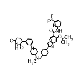 CC(C)Oc1cc2nc(C3CCC(CN(C)C4CCN(c5cccc(C6CCC(=O)NC6=O)c5)CC4)CC3)cn2cc1C(=O)Nc1cccc(C(F)F)n1